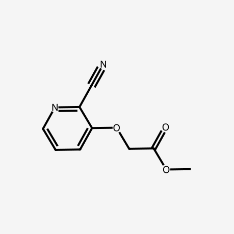 COC(=O)COc1cccnc1C#N